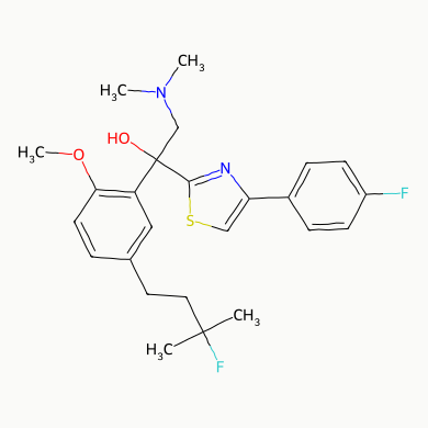 COc1ccc(CCC(C)(C)F)cc1C(O)(CN(C)C)c1nc(-c2ccc(F)cc2)cs1